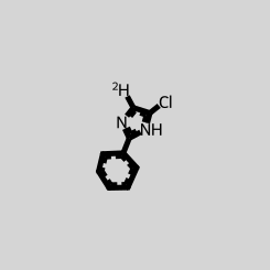 [2H]c1nc(-c2ccccc2)[nH]c1Cl